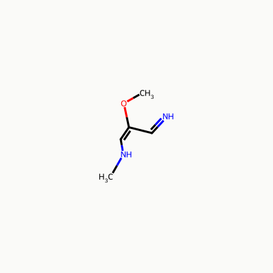 CN/C=C(\C=N)OC